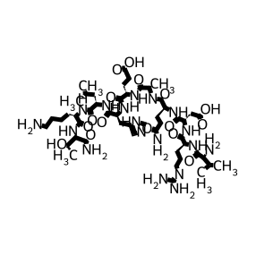 CC(C)C[C@H](NC(=O)[C@H](Cc1cnc[nH]1)NC(=O)[C@H](CCC(=O)O)NC(=O)[C@H](C)NC(=O)[C@H](CCC(N)=O)NC(=O)[C@H](CC(=O)O)NC(=O)[C@H](CCCN=C(N)N)NC(=O)[C@@H](N)C(C)C)C(=O)N[C@@H](CCCCN)C(=O)N[C@H](C(N)=O)[C@@H](C)O